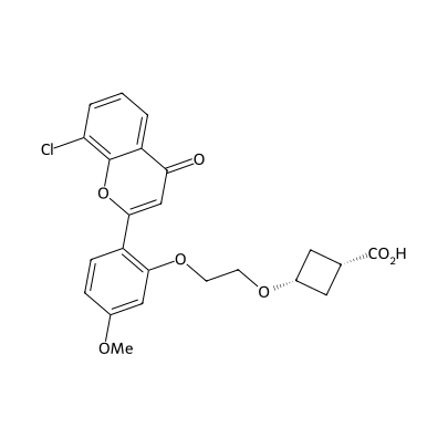 COc1ccc(-c2cc(=O)c3cccc(Cl)c3o2)c(OCCO[C@H]2C[C@@H](C(=O)O)C2)c1